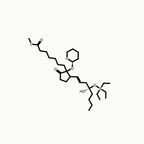 CCCC[C@@](O)(CC=CC1CCC(=O)C1(CCCCCCC(=O)OC)O[C@@H]1CCCCO1)O[Si](CC)(CC)CC